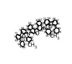 Cc1ccc(N(c2cc3oc4cc(N(c5ccc(C)cc5)c5cccc6c5oc5c(C7CCCCC7)cccc56)c5ccccc5c4c3c3ccccc23)c2cccc3c2oc2c(C4CCCCC4)cccc23)cc1